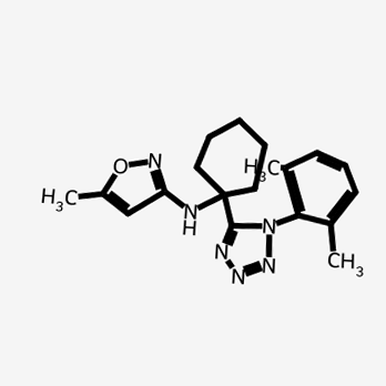 Cc1cc(NC2(c3nnnn3-c3c(C)cccc3C)CCCCC2)no1